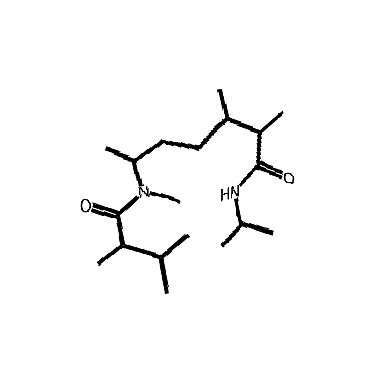 CC(C)NC(=O)C(C)C(C)CCC(C)N(C)C(=O)C(C)C(C)C